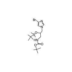 CC(C)(C)OC(=O)NCC(Cn1cnc(Br)c1)O[Si](C)(C)C(C)(C)C